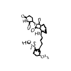 Cc1ccc(S(=O)(=O)O)c(CCCNc2cccc3c2C(=O)N(C2CCC(=O)NC2=O)C3=O)c1